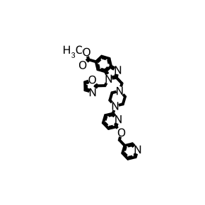 COC(=O)c1ccc2nc(CN3CCN(c4cccc(OCc5cccnc5)n4)CC3)n(Cc3ncco3)c2c1